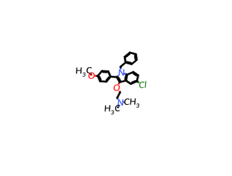 COc1ccc(-c2c(OCCN(C)C)c3cc(Cl)ccc3n2Cc2ccccc2)cc1